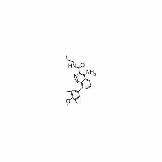 CCCNC(=O)c1nnc2c(-c3cc(C)c(OC)c(C)c3)cccc2c1N